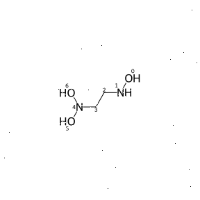 ONCCN(O)O